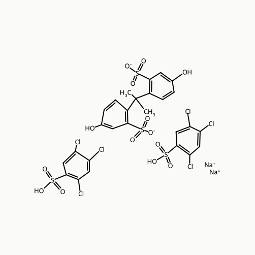 CC(C)(c1ccc(O)cc1S(=O)(=O)[O-])c1ccc(O)cc1S(=O)(=O)[O-].O=S(=O)(O)c1cc(Cl)c(Cl)cc1Cl.O=S(=O)(O)c1cc(Cl)c(Cl)cc1Cl.[Na+].[Na+]